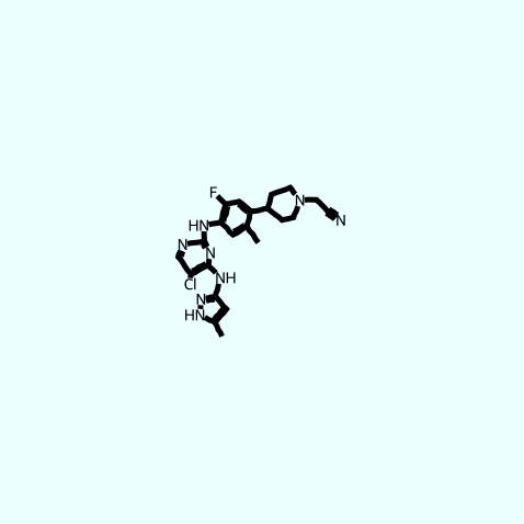 Cc1cc(Nc2nc(Nc3cc(C)c(C4CCN(CC#N)CC4)cc3F)ncc2Cl)n[nH]1